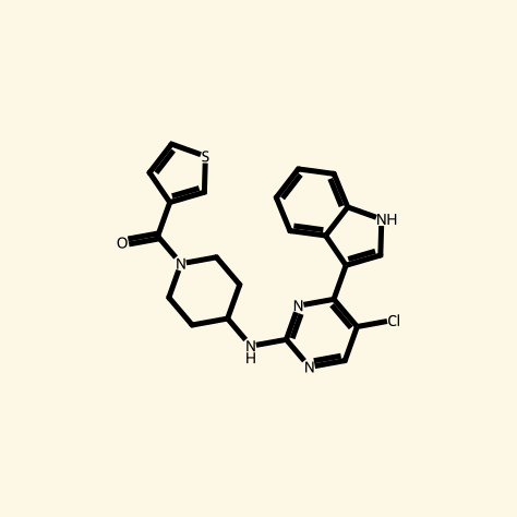 O=C(c1ccsc1)N1CCC(Nc2ncc(Cl)c(-c3c[nH]c4ccccc34)n2)CC1